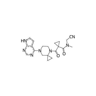 CN(CC#N)C(=O)C1(C(=O)N2CCN(c3ncnc4[nH]ccc34)CC23CC3)CC1